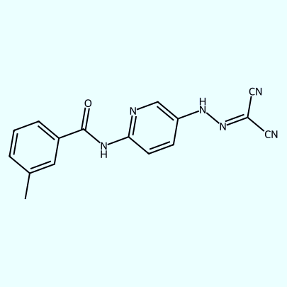 Cc1cccc(C(=O)Nc2ccc(NN=C(C#N)C#N)cn2)c1